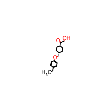 CCc1ccc(OC[C@H]2CC[C@H](C(=O)CO)CC2)cc1